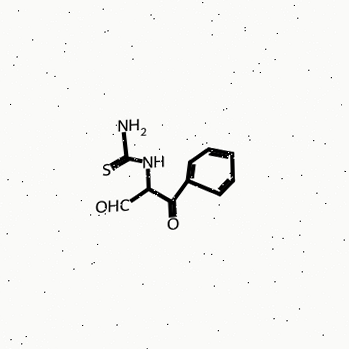 NC(=S)NC(C=O)C(=O)c1ccccc1